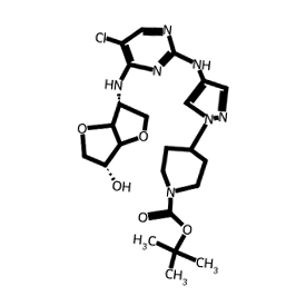 CC(C)(C)OC(=O)N1CCC(n2cc(Nc3ncc(Cl)c(N[C@@H]4COC5C4OC[C@H]5O)n3)cn2)CC1